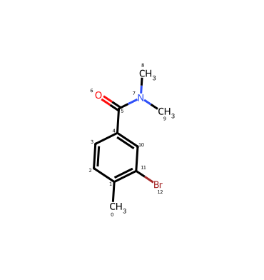 Cc1ccc(C(=O)N(C)C)cc1Br